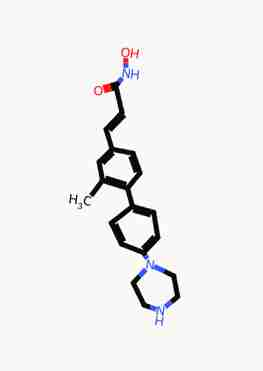 Cc1cc(/C=C/C(=O)NO)ccc1-c1ccc(N2CCNCC2)cc1